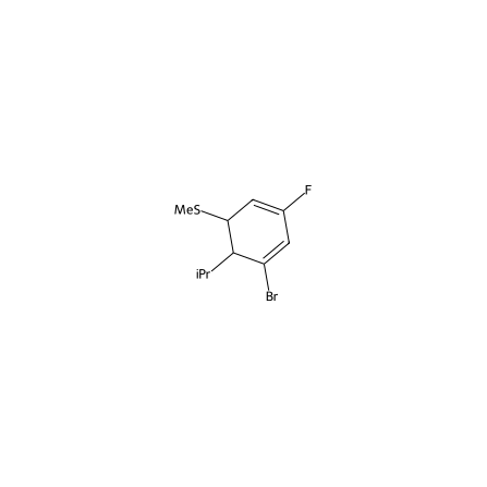 CSC1C=C(F)C=C(Br)C1C(C)C